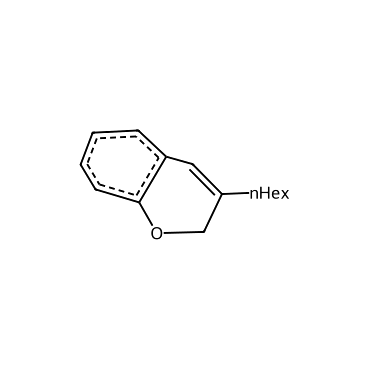 [CH2]CCCCCC1=Cc2ccccc2OC1